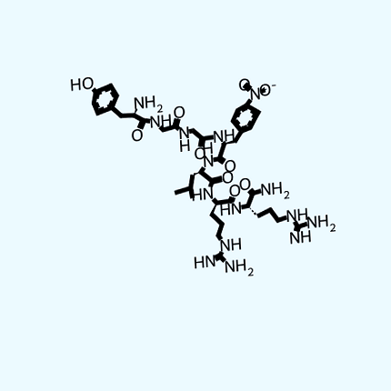 CC(C)C[C@H](NC(=O)[C@H](Cc1ccc([N+](=O)[O-])cc1)NC(=O)CNC(=O)CNC(=O)[C@@H](N)Cc1ccc(O)cc1)C(=O)N[C@H](CCCNC(=N)N)C(=O)N[C@@H](CCCNC(=N)N)C(N)=O